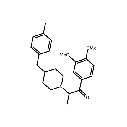 COc1ccc(C(=O)C(C)N2CCC(Cc3ccc(C)cc3)CC2)cc1OC